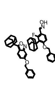 ON=Cc1ccc(OCc2ccccc2)c(C23CC4CC(CC(C4)C2)C3)c1F.c1ccc(COc2ccc3c(C45CC6CC(CC(C6)C4)C5)onc3c2)cc1